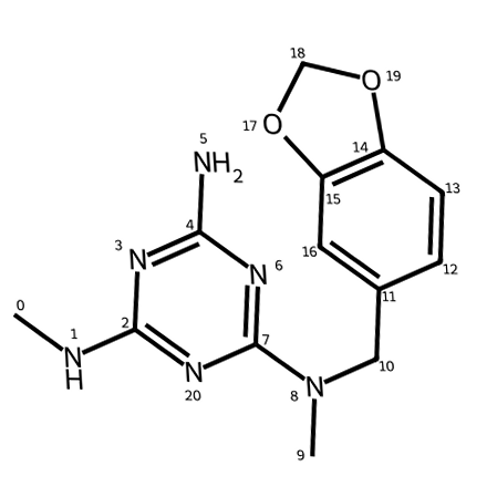 CNc1nc(N)nc(N(C)Cc2ccc3c(c2)OCO3)n1